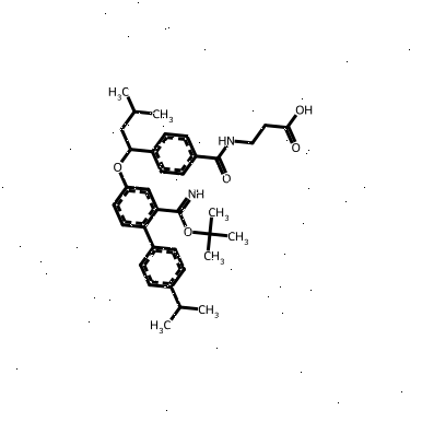 CC(C)CC(Oc1ccc(-c2ccc(C(C)C)cc2)c(C(=N)OC(C)(C)C)c1)c1ccc(C(=O)NCCC(=O)O)cc1